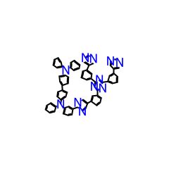 c1ccc(N(c2ccccc2)c2ccc(-c3ccc(N(c4ccccc4)c4cccc(-c5ncc(-c6cccc(-c7nc(-c8cccc(-c9cncnc9)c8)nc(-c8cccc(-c9cncnc9)c8)n7)c6)cn5)c4)cc3)cc2)cc1